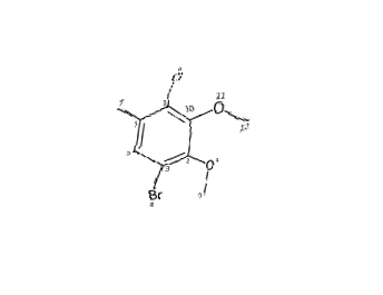 COc1c(Br)cc(C)c(Cl)c1OC